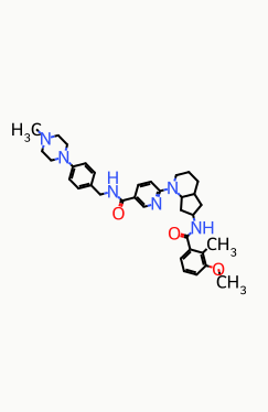 COc1cccc(C(=O)NC2CC3CCCN(c4ccc(C(=O)NCc5ccc(N6CCN(C)CC6)cc5)cn4)C3C2)c1C